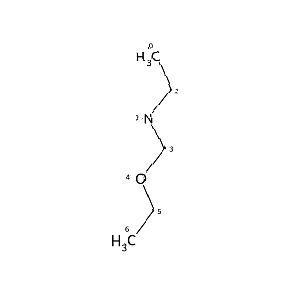 CC[N]COCC